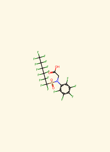 O=C(O)CN(c1c(F)c(F)c(F)c(F)c1F)S(=O)(=O)C(F)(F)C(F)(F)C(F)(F)C(F)(F)C(F)(F)C(F)(F)F